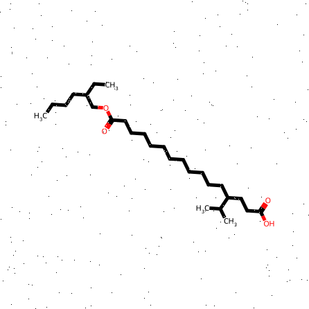 CCCCC(CC)COC(=O)CCCCCCCCCCCC(CCC(=O)O)C(C)C